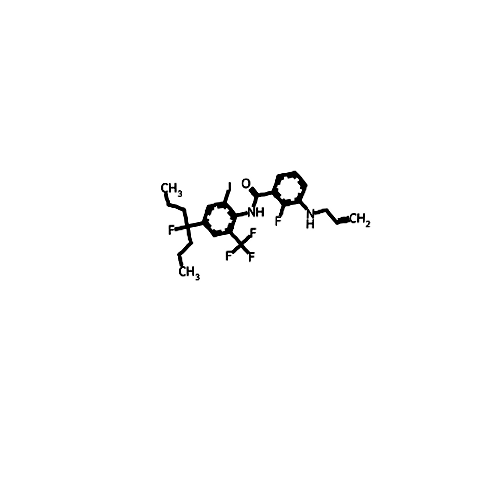 C=CCNc1cccc(C(=O)Nc2c(I)cc(C(F)(CCC)CCC)cc2C(F)(F)F)c1F